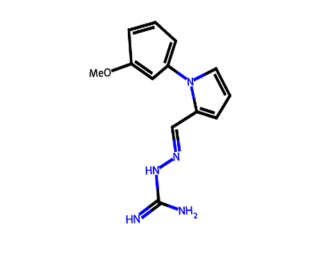 COc1cccc(-n2cccc2C=NNC(=N)N)c1